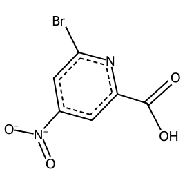 O=C(O)c1cc([N+](=O)[O-])cc(Br)n1